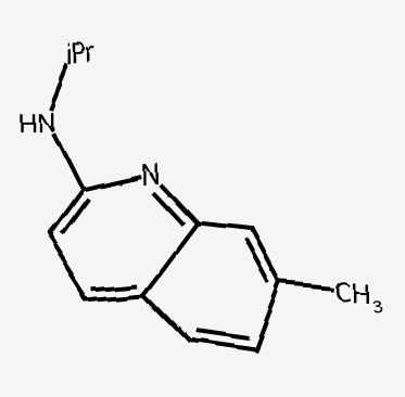 Cc1ccc2ccc(NC(C)C)nc2c1